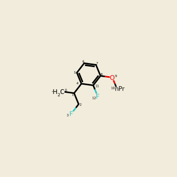 [CH2]C(CF)c1cccc(OCCC)c1F